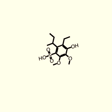 CCc1c(O)c(OC)c(OC)c(S(=O)(=O)O)c1C(C)CC